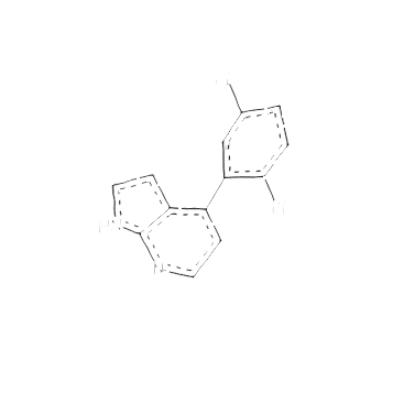 Clc1ccc(Cl)c(-c2ccnc3[nH]ccc23)c1